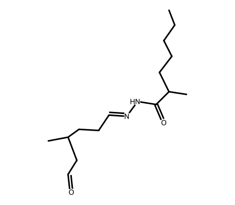 CCCCCC(C)C(=O)N/N=C/CCC(C)CC=O